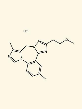 COCCc1nc2n(n1)Cc1c(C)ncn1-c1ccc(C)cc1-2.Cl